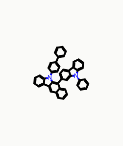 c1ccc(-c2ccc(-n3c4ccccc4c4cc5ccccc5c(-c5ccc6c7ccccc7n(-c7ccccc7)c6c5)c43)cc2)cc1